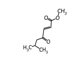 COC(=O)C=CC(=O)CC(C)C